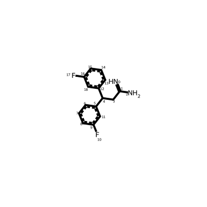 N=C(N)CC(c1cccc(F)c1)c1cccc(F)c1